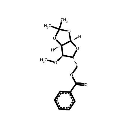 CO[C@H]1[C@H]2OC(C)(C)O[C@H]2O[C@@H]1COC(=O)c1ccccc1